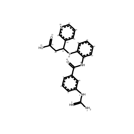 N=C(N)Nc1cccc(C(=O)Nc2ccccc2SC(CC(=O)O)c2cccnc2)c1